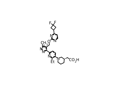 CCc1nc(-c2nnn(C)c2COc2nccc(C3CC(F)(F)C3)n2)ccc1N1CCC[C@H](CC(=O)O)C1